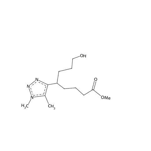 COC(=O)CCCC(CCCO)c1nnn(C)c1C